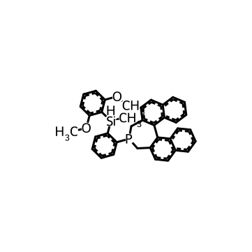 COc1cccc(OC)c1[Si@@H](C)c1ccccc1P1Cc2ccc3ccccc3c2-c2c(ccc3ccccc23)C1